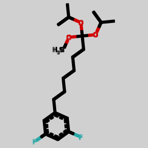 CC(C)OC(CCCCCCc1cc(F)cc(F)c1)(O[SiH3])OC(C)C